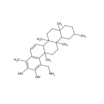 Cc1c(O)c(O)c(CN)c2c1C=CC1C2(C)CCC2(C)C3CC(C)CCC3(C)CCC12C